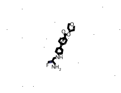 NC/C(=C\F)CNc1ccc(C23CCC(C(=O)OC4CCOCC4)(CC2)CC3)cc1